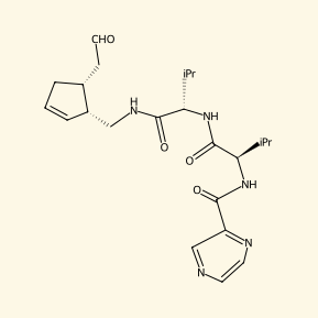 CC(C)[C@H](NC(=O)[C@H](NC(=O)c1cnccn1)C(C)C)C(=O)NC[C@@H]1C=CC[C@@H]1CC=O